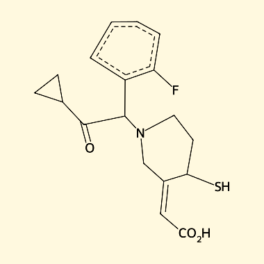 O=C(O)/C=C1/CN(C(C(=O)C2CC2)c2ccccc2F)CCC1S